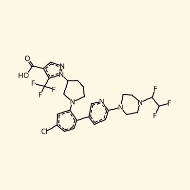 O=C(O)c1cnn(C2CCCN(c3cc(Cl)ccc3-c3ccc(N4CCN(C(F)C(F)F)CC4)nc3)C2)c1C(F)(F)F